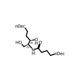 CCCCCCCCCCCCCC(=O)N[C@@H](CO)[C@H](O)CCCCCCCCCCCC